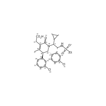 CCS(=O)(=O)NCC(C1CC1)N1C(=O)C(CC(=O)O)=C(C)[C@H](c2cccc(Cl)c2)[C@H]1c1ccc(Cl)cc1